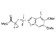 COC(=O)C1(CC(F)(F)c2cc3c(F)c(OC)c(OC)cc3s2)CC1